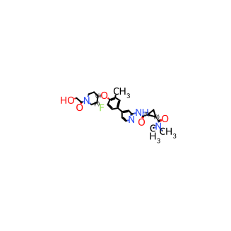 Cc1cc(-c2ccnc(NC(=O)[C@H]3C[C@H]3C(=O)N(C)C)c2)ccc1O[C@H]1CCN(C(=O)CO)C[C@H]1F